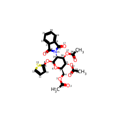 CC(=O)OC[C@H]1O[C@@H](Oc2cccs2)[C@H](N2C(=O)c3ccccc3C2=O)[C@@H](OC(C)=O)[C@@H]1OC(C)=O